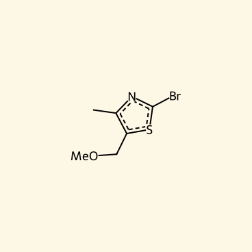 COCc1sc(Br)nc1C